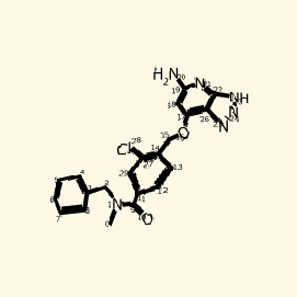 CN(Cc1ccccc1)C(=O)c1ccc(COc2cc(N)nc3[nH]nnc23)c(Cl)c1